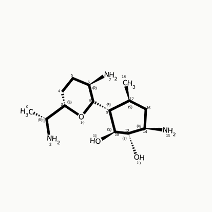 C[C@@H](N)[C@@H]1CC[C@@H](N)C([C@H]2[C@H](O)[C@@H](O)[C@H](N)C[C@@H]2C)O1